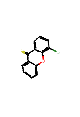 S=c1c2ccccc2oc2c(Cl)cccc12